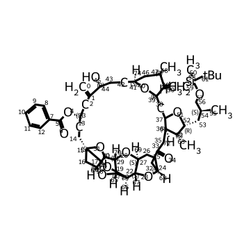 C=C1C[C@@H](OC(=O)c2ccccc2)CC[C@@]23C[C@H]4O[C@H]5[C@@H](O2)[C@H]2O[C@@H](CC[C@@H]2O[C@H]5[C@H]4O3)CC(=O)C[C@H]2C(C[C@H]3O[C@@H](CC[C@H]1O)C[C@@H](C)C3=C)O[C@H](C[C@H](C)CO[Si](C)(C)C(C)(C)C)[C@@H]2C